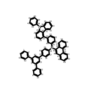 c1ccc(-c2cc(-c3ccccc3)cc(-c3ccc(N(c4cccc(-c5cccc6c5c5ccccc5n6-c5ccccc5)c4)c4cc5ccccc5c5ccccc45)cc3)c2)cc1